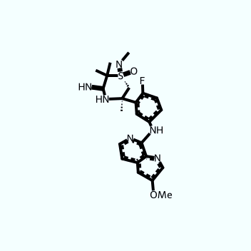 CN=[S@]1(=O)C[C@@](C)(c2cc(Nc3nccc4cc(OC)cnc34)ccc2F)NC(=N)C1(C)C